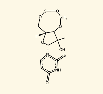 CC1(O)C2O[SiH2]OSOC[C@H]2O[C@H]1n1ccc(=O)[nH]c1=S